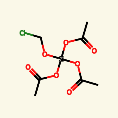 CC(=O)O[Si](OCCl)(OC(C)=O)OC(C)=O